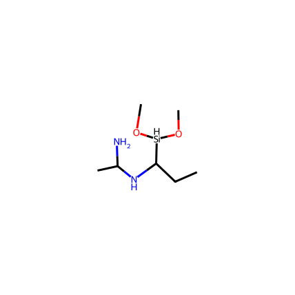 CCC(NC(C)N)[SiH](OC)OC